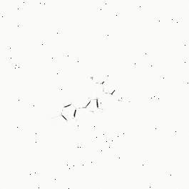 CC(C)(C)OC(=O)N(C(=O)OC(C)(C)C)c1cc(-c2ccc(Cl)cc2)sc1C(=O)O